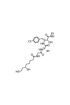 CCNC(=O)C(O)[C@H](Cc1ccc(Cl)cc1)NC(=O)[C@@H](NC(=O)CNC(=O)CCCCC(S)CCS)C(C)C